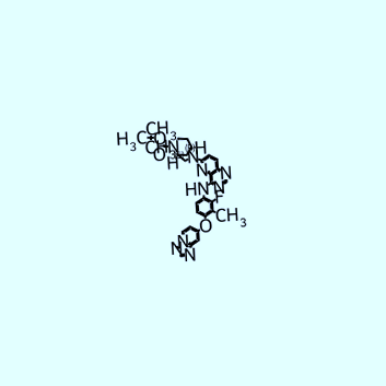 Cc1c(Oc2ccn3ncnc3c2)ccc(Nc2ncnc3ccc(N4C[C@@H]5C[C@H]4CCN5C(=O)OC(C)(C)C)nc23)c1F